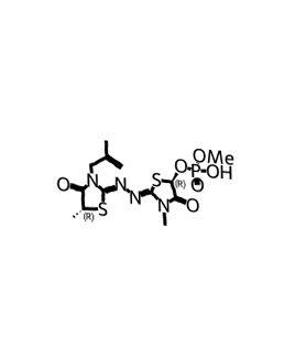 C=C(C)CN1C(=O)[C@@H](C)SC1=NN=C1S[C@@H](OP(=O)(O)OC)C(=O)N1C